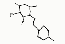 CC1CCC(CCC2C(C)CC(C)C(F)C2F)CC1